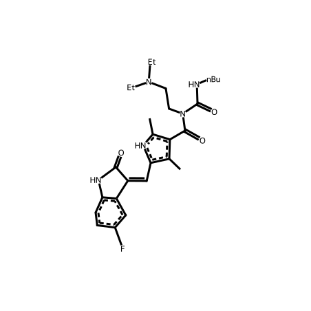 CCCCNC(=O)N(CCN(CC)CC)C(=O)c1c(C)[nH]c(/C=C2\C(=O)Nc3ccc(F)cc32)c1C